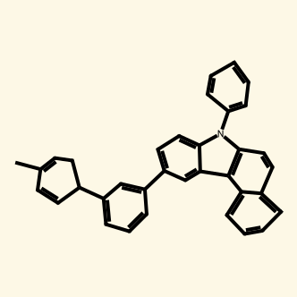 CC1=CCC(c2cccc(-c3ccc4c(c3)c3c5ccccc5ccc3n4-c3ccccc3)c2)C=C1